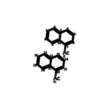 CC(=O)c1cccc2ccccc12.CC(=O)c1cccc2ccccc12